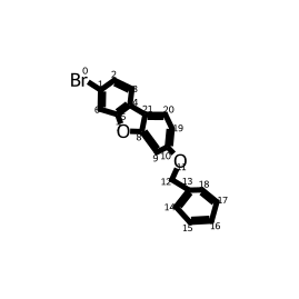 Brc1ccc2c(c1)oc1cc(OCc3ccccc3)ccc12